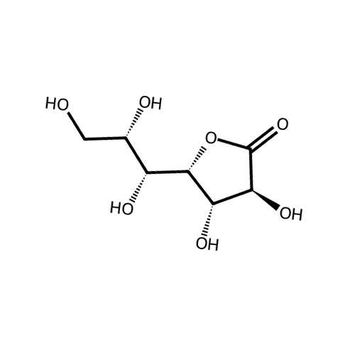 O=C1O[C@@H]([C@H](O)[C@@H](O)CO)[C@@H](O)[C@@H]1O